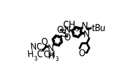 CN(c1ccc2c(c1)nc(C(C)(C)C)n2CC1CCOCC1)S(=O)(=O)c1ccc(NC(=O)C(C)(C)C#N)cc1